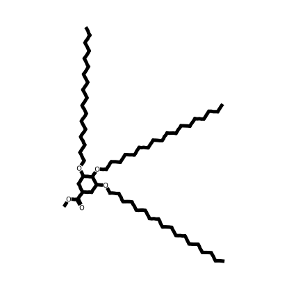 CCCCCCCCCCCCCCCCCCOC1CC(C(=O)OC)CC(OCCCCCCCCCCCCCCCCCC)C1OCCCCCCCCCCCCCCCCCC